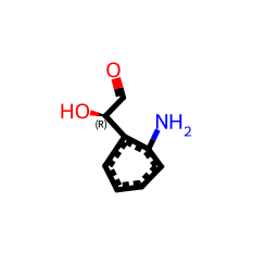 Nc1ccccc1[C@@H](O)C=O